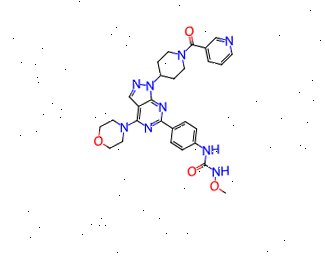 CONC(=O)Nc1ccc(-c2nc(N3CCOCC3)c3cnn(C4CCN(C(=O)c5cccnc5)CC4)c3n2)cc1